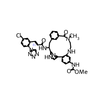 COC(=O)Nc1ccc2c(c1)NCCN(C)C(=O)c1cccc(c1)CC(NC(=O)/C=C/c1cc(Cl)ccc1-n1cnnn1)c1nc-2c[nH]1